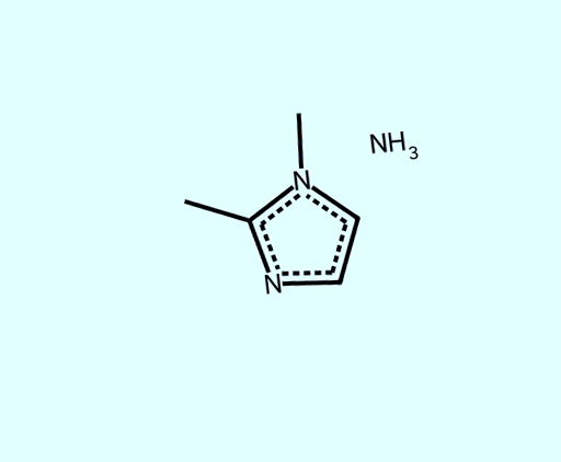 Cc1nccn1C.N